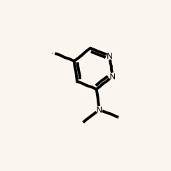 [CH2]c1cnnc(N(C)C)c1